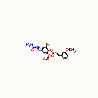 COc1cccc(/C=C/C(=O)Oc2c(Br)cc(CNC(N)=O)cc2OC)c1